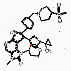 Cn1c(=O)n(C2CCOCC2)c2c3c(-c4ccc(C5(C#N)CC5)cc4)c(-c4ccc(CN5CCC(S(C)(=O)=O)CC5)cc4)[nH]c3ncc21